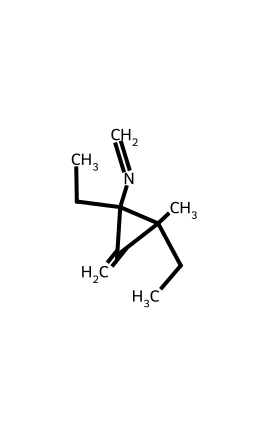 C=NC1(CC)C(=C)C1(C)CC